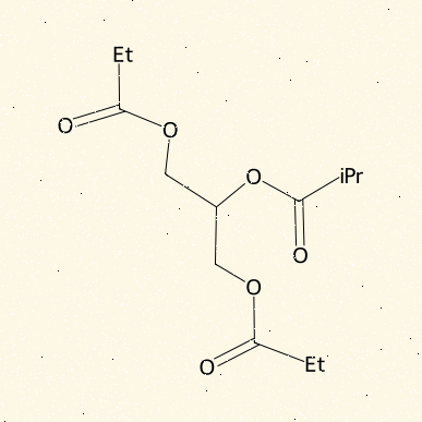 CCC(=O)OCC(COC(=O)CC)OC(=O)C(C)C